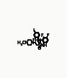 CN1CCN(CCS(=O)(=O)Nc2ccc(F)c(F)c2Nc2ccc(I)cc2F)CC1